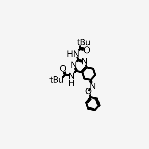 CC(C)(C)C(=O)Nc1nc2c(c(NC(=O)C(C)(C)C)n1)CC(=NOc1ccccc1)CC2